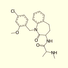 CNC(C)C(=O)NC1CCc2ccccc2N(Cc2ccc(Cl)cc2OC)C1=O